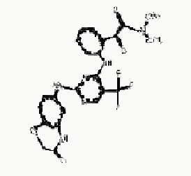 CN(C)C(=O)C(=O)c1ccccc1Nc1nc(Nc2ccc3c(c2)NC(=O)CO3)ncc1C(F)(F)F